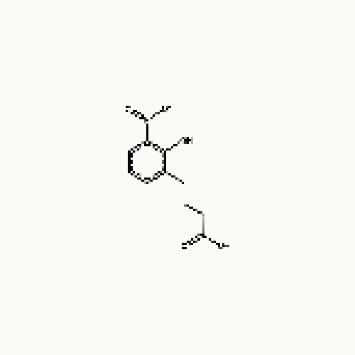 O=C(O)CCCc1cccc([N+](=O)[O-])c1O